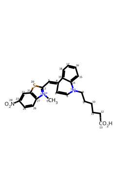 C[n+]1c(C=C2C=CN(CCCCCC(=O)O)c3ccccc32)sc2cc([N+](=O)[O-])ccc21